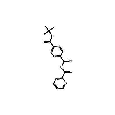 CC(C)(C)OC(=O)c1ccc(C(Br)OC(=O)c2ccccn2)cc1